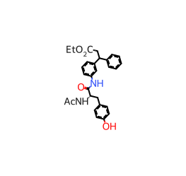 CCOC(=O)CC(c1ccccc1)c1cccc(NC(=O)[C@H](Cc2ccc(O)cc2)NC(C)=O)c1